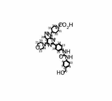 O=C(Nc1ccc(CO)cc1)Nc1ccc(-c2nc(N3CCOCC3)c3cnn(C4CCN(C(=O)O)CC4)c3n2)cc1